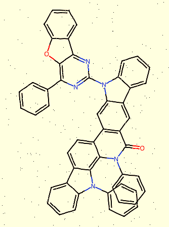 O=c1c2cc3c4ccccc4n(-c4nc(-c5ccccc5)c5oc6ccccc6c5n4)c3cc2c2ccc3c4ccccc4n(-c4ccccc4)c3c2n1-c1ccccc1